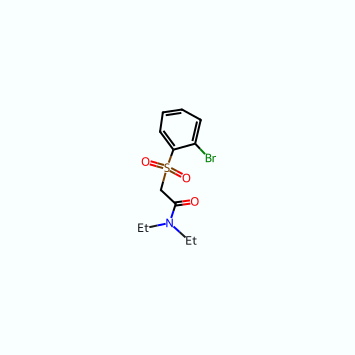 CCN(CC)C(=O)CS(=O)(=O)c1ccccc1Br